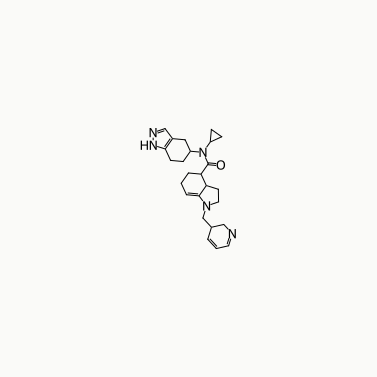 O=C(C1CCC=C2C1CCN2CC1C=CC=NC1)N(C1CC1)C1CCc2[nH]ncc2C1